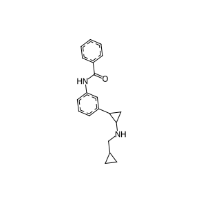 O=C(Nc1cccc(C2CC2NCC2CC2)c1)c1ccccc1